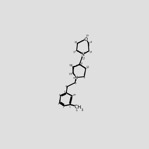 Cc1cccc(CCN2CCC(N3CCOCC3)CC2)c1